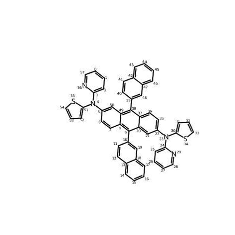 c1ccc(N(c2ccc3c(-c4ccc5ccccc5c4)c4cc(N(c5ccccn5)c5cccs5)ccc4c(-c4ccc5ccccc5c4)c3c2)c2cccs2)nc1